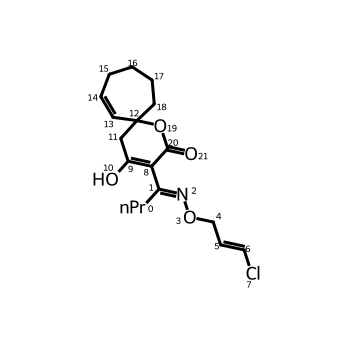 CCCC(=NOCC=CCl)C1=C(O)CC2(C=CCCCC2)OC1=O